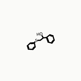 OC(CSc1ccccc1)c1ccccc1